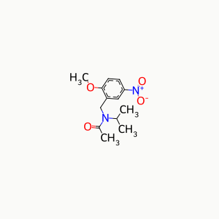 COc1ccc([N+](=O)[O-])cc1CN(C(C)=O)C(C)C